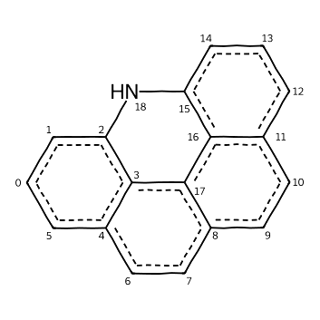 c1cc2c3c(c1)ccc1ccc4cccc(c4c13)N2